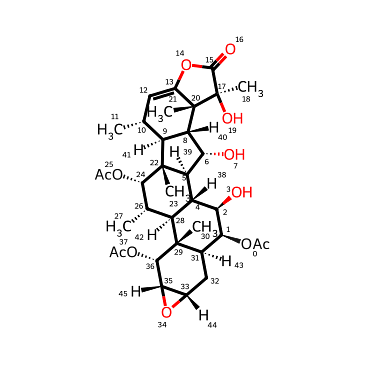 CC(=O)O[C@@H]1[C@H](O)[C@H]2[C@@H]3[C@@H](O)[C@@H]4[C@H]([C@H](C)C=C5OC(=O)[C@@](C)(O)[C@@]54C)[C@@]3(C)[C@@H](OC(C)=O)[C@@H](C)[C@@H]2[C@]2(C)[C@@H]1C[C@@H]1O[C@@H]1[C@@H]2OC(C)=O